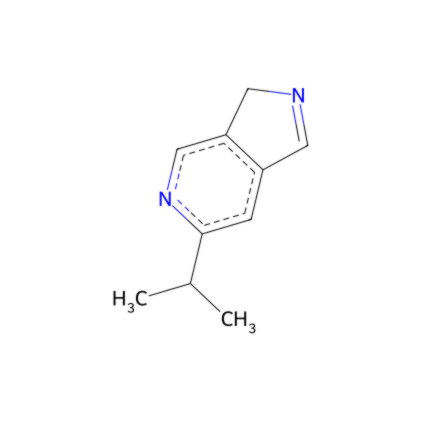 CC(C)c1cc2c(cn1)CN=C2